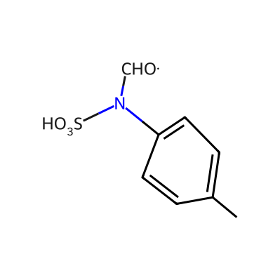 Cc1ccc(N([C]=O)S(=O)(=O)O)cc1